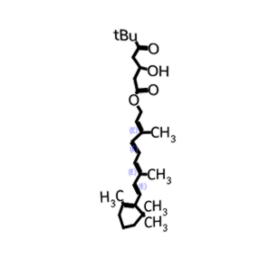 CC1=C(/C=C/C(C)=C/C=C/C(C)=C/COC(=O)CC(O)CC(=O)C(C)(C)C)C(C)(C)CCC1